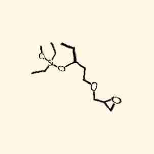 CCC(CCOCC1CO1)O[Si](CC)(CC)OC